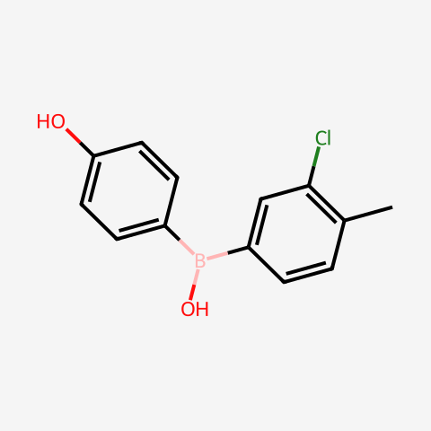 Cc1ccc(B(O)c2ccc(O)cc2)cc1Cl